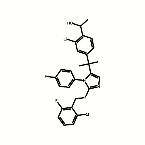 CC(O)c1ccc(C(C)(C)c2cnc(SCc3c(F)cccc3Cl)n2-c2ccc(F)cc2)cc1Cl